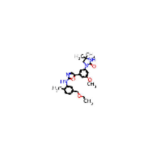 CCOCc1ccc(C)c(Nc2ncc(-c3cc(OC)cc(N4CC(C)(C)NC4=O)c3)o2)c1